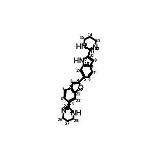 c1cc2cc(-c3ccc4cc(C5=NCCCN5)[nH]c4c3)oc2cc1C1=NCCCN1